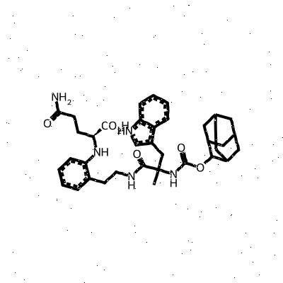 CC(Cc1c[nH]c2ccccc12)(NC(=O)OC1C2CC3CC(C2)CC1C3)C(=O)NCCc1ccccc1N[C@@H](CCC(N)=O)C(=O)O